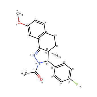 COc1ccc2c(c1)C1=NN(C(C)=O)C(c3ccc(F)cc3)[C@@H]1CC2